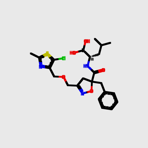 Cc1nc(COCC2=NOC(Cc3ccccc3)(C(=O)N[C@@H](CC(C)C)B(O)O)C2)c(Cl)s1